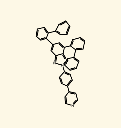 c1ccc(-c2ccccc2-c2cc(-c3ccccc3-c3ccccc3)c3nn(-c4ccc(-c5ccncc5)cc4)nc3c2)cc1